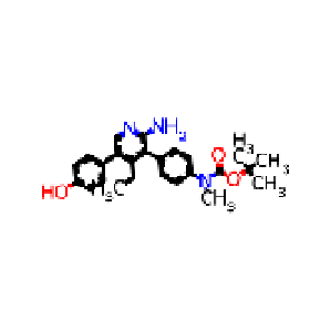 CCc1c(-c2ccc(O)cc2)cnc(N)c1-c1ccc(N(C)C(=O)OC(C)(C)C)cc1